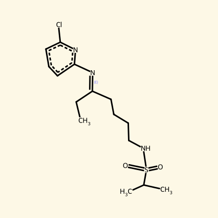 CC/C(CCCCNS(=O)(=O)C(C)C)=N\c1cccc(Cl)n1